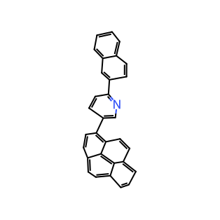 c1ccc2cc(-c3ccc(-c4ccc5ccc6cccc7ccc4c5c67)cn3)ccc2c1